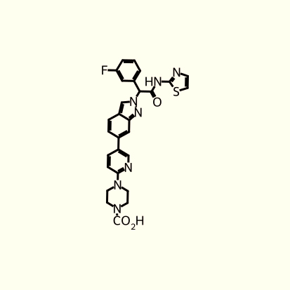 O=C(Nc1nccs1)C(c1cccc(F)c1)n1cc2ccc(-c3ccc(N4CCN(C(=O)O)CC4)nc3)cc2n1